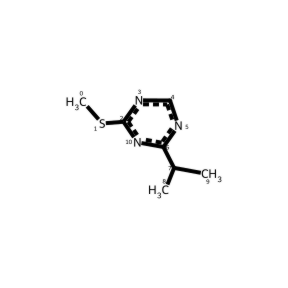 CSc1ncnc(C(C)C)n1